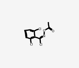 CC(=O)O/N=C(/Cl)c1c(Cl)cccc1Cl